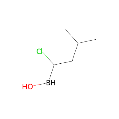 CC(C)CC(Cl)BO